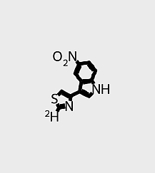 [2H]c1nc(-c2c[nH]c3ccc([N+](=O)[O-])cc23)cs1